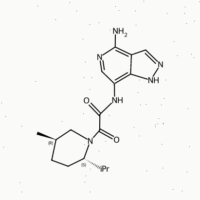 CC(C)[C@@H]1CC[C@@H](C)CN1C(=O)C(=O)Nc1cnc(N)c2cn[nH]c12